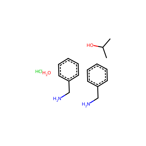 CC(C)O.Cl.NCc1ccccc1.NCc1ccccc1.O